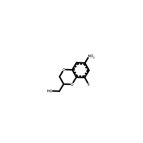 O=[N+]([O-])c1cc(F)c2c(c1)OCC(CO)O2